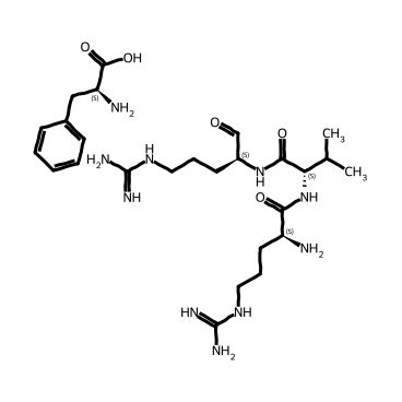 CC(C)[C@H](NC(=O)[C@@H](N)CCCNC(=N)N)C(=O)N[C@H](C=O)CCCNC(=N)N.N[C@@H](Cc1ccccc1)C(=O)O